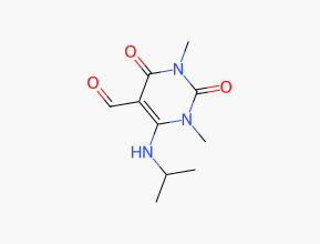 CC(C)Nc1c(C=O)c(=O)n(C)c(=O)n1C